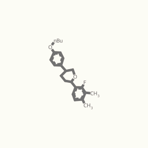 CCCCOc1ccc(C2CCC(c3ccc(C)c(C)c3F)OC2)cc1